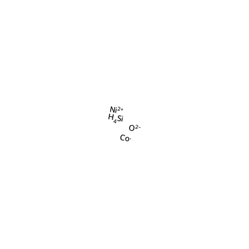 [Co].[Ni+2].[O-2].[SiH4]